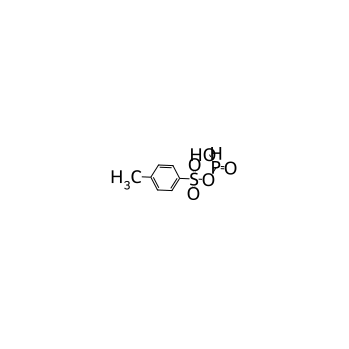 Cc1ccc(S(=O)(=O)O[PH](=O)O)cc1